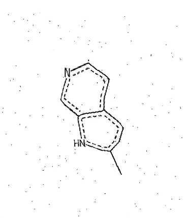 Cc1cc2c[c]ncc2[nH]1